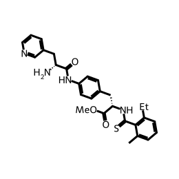 CCc1cccc(C)c1C(=S)N[C@@H](Cc1ccc(NC(=O)[C@H](N)Cc2cccnc2)cc1)C(=O)OC